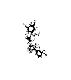 COc1cccc(-c2nnc(SCC(=O)Nc3cc(C)cc(C)c3)[nH]2)c1